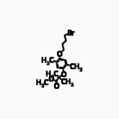 COC(=O)C(C)(C)Oc1cc(C)c(OCCCCBr)cc1C